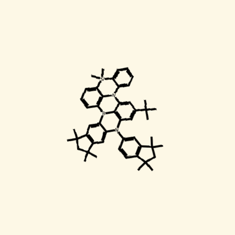 CC(C)(C)c1cc2c3c(c1)N1c4ccccc4[Si](C)(C)c4cccc(c41)B3c1cc3c(cc1N2c1ccc2c(c1)C(C)(C)CC2(C)C)C(C)(C)CC3(C)C